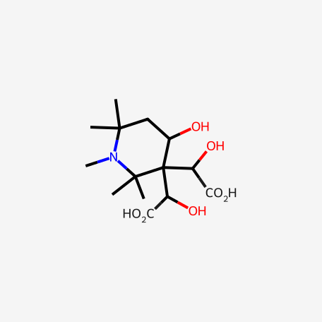 CN1C(C)(C)CC(O)C(C(O)C(=O)O)(C(O)C(=O)O)C1(C)C